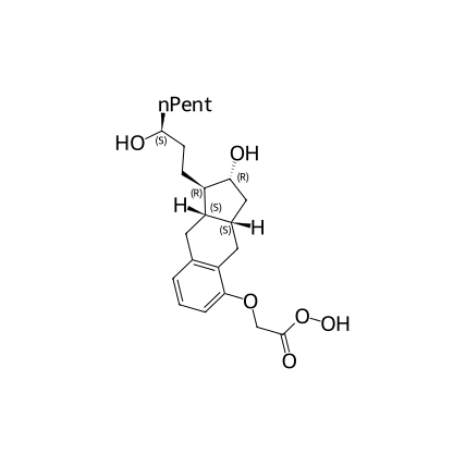 CCCCC[C@H](O)CC[C@@H]1[C@H]2Cc3cccc(OCC(=O)OO)c3C[C@H]2C[C@H]1O